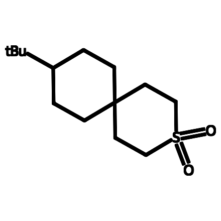 CC(C)(C)C1CCC2(CC1)CCS(=O)(=O)CC2